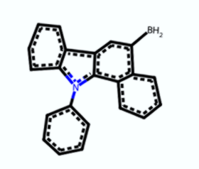 Bc1cc2c3ccccc3n(-c3ccccc3)c2c2ccccc12